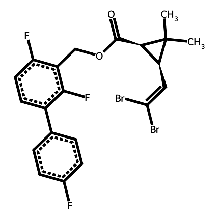 CC1(C)[C@H](C(=O)OCc2c(F)ccc(-c3ccc(F)cc3)c2F)[C@@H]1C=C(Br)Br